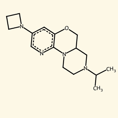 CC(C)N1CCN2c3ncc(N4CCC4)cc3OCC2C1